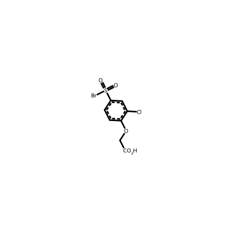 O=C(O)COc1ccc(S(=O)(=O)Br)cc1Cl